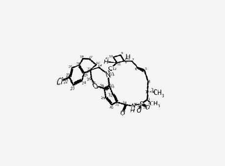 C[C@@H]1[C@@H](C)C/C=C/C[C@@H]2CC[C@H]2CN2C[C@@]3(CCCc4cc(Cl)ccc43)COc3ccc(cc32)C(=O)NS1(=O)=O